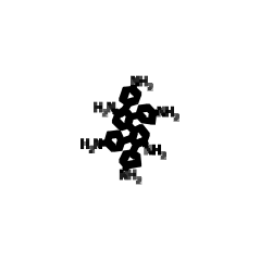 Nc1ccc(-c2c(N)ccc(-c3ccc(N)c(-c4ccc(N)cc4)c3-c3ccc(N)cc3)c2-c2ccc(N)cc2)cc1